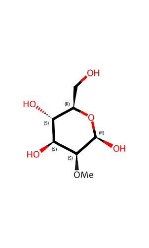 CO[C@H]1[C@@H](O)[C@H](O)[C@@H](CO)O[C@H]1O